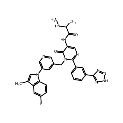 CNC(C)C(=O)Nc1cnc(-c2cccc(-c3nn[nH]n3)c2)n(Cc2cncc(-n3cc(C)c4cc(F)ccc43)c2)c1=O